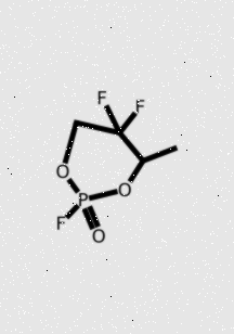 CC1OP(=O)(F)OCC1(F)F